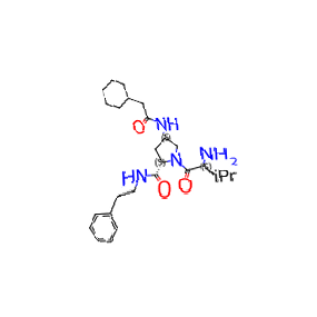 CC(C)[C@H](N)C(=O)N1C[C@@H](NC(=O)CC2CCCCC2)C[C@H]1C(=O)NCCc1ccccc1